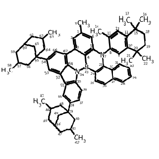 Cc1cc2c3c(c1)N(c1cc4c(cc1C)C(C)(C)CCC4(C)C)c1c(ccc4ccccc14)B3n1c3ccc(C45CC(C)CC(CC(C)C4)C5)cc3c3cc(C45CC(C)CC(CC(C)C4)C5)cc-2c31